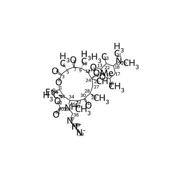 CCC1OC(=O)[C@H](C)C(=O)[C@H](C)[C@@H](OC2OC(C)CC(N(C)C)C2C)[C@@](C)(OC)C[C@@H](C)C(=O)[C@H](C)[C@H]2N(CN=[N+]=[N-])C(=O)O[C@]12C